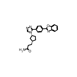 NC(=O)CC[C@@H]1CC[C@@H](n2cnnc2-c2ccc(-c3nc4ccccc4o3)cc2)C1